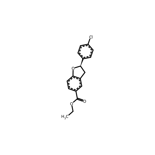 CCOC(=O)c1ccc2c(c1)C[C@H](c1ccc(Cl)cc1)O2